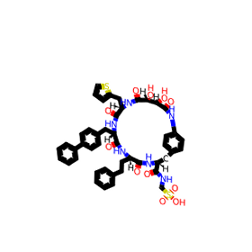 O=C(NCS(=O)(=O)O)[C@@H]1Cc2ccc(cc2)NC(=O)[C@H](O)[C@@H](O)C(=O)N[C@H](Cc2cccs2)C(=O)N[C@@H](Cc2ccc(-c3ccccc3)cc2)C(=O)N[C@H](CCc2ccccc2)C(=O)N1